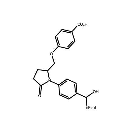 CCCCCC(O)c1ccc(N2C(=O)CCC2COc2ccc(C(=O)O)cc2)cc1